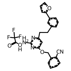 N#Cc1ccccc1COc1cc(CCc2cccc(-c3ccco3)c2)nc(N)n1.O=C(O)C(F)(F)F